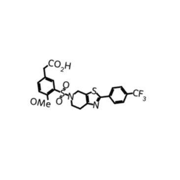 COc1ccc(CC(=O)O)cc1S(=O)(=O)N1CCc2nc(-c3ccc(C(F)(F)F)cc3)sc2C1